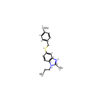 COc1ccc(CSc2ccc3c(c2)nc(C(C)(C)C)n3CCC(C)(C)C)cc1